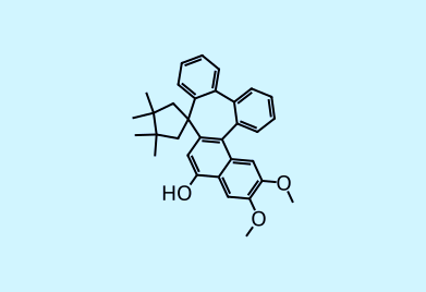 COc1cc2c(O)cc3c(c2cc1OC)-c1ccccc1-c1ccccc1C31CC(C)(C)C(C)(C)C1